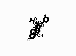 CC1CCCC(C2O[C@@H]3C[C@H]4[C@@H]5CCC6=CC(=O)C=C[C@]6(C)[C@H]5[C@@H](O)C[C@]4(C)[C@]3(C(=O)COC(=O)C(C)C)O2)C1